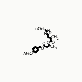 C=C(Cc1nc(CCCCCCCC)no1)C(=O)OC(CC(=O)OCc1ccc(OC)cc1)C(F)(F)F